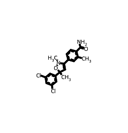 Cc1cc(C2=CC(C)(c3cc(Cl)cc(Cl)c3)ON2C)ccc1C(N)=O